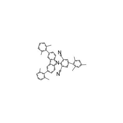 Cc1cc(C)c(-c2cc(C#N)c(-n3c4ccc(-c5c(C)cccc5C)cc4c4cc(-c5c(C)cccc5C)ccc43)c(C#N)c2)c(C)c1